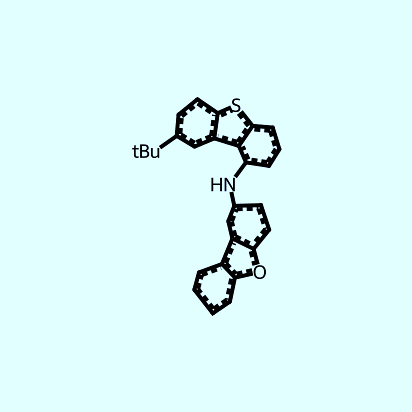 CC(C)(C)c1ccc2sc3cccc(Nc4ccc5oc6ccccc6c5c4)c3c2c1